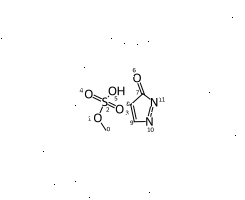 COS(=O)(=O)O.O=C1C=CN=N1